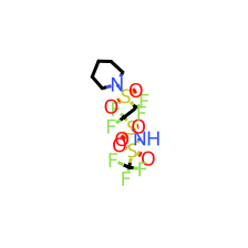 O=S(=O)(NS(=O)(=O)C(F)(F)C(F)(F)S(=O)(=O)N1CCCCC1)C(F)(F)F